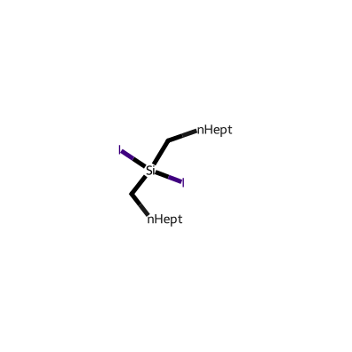 CCCCCCCC[Si](I)(I)CCCCCCCC